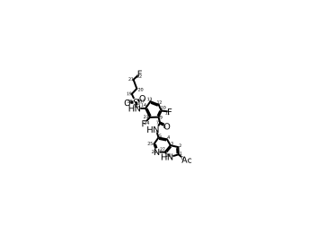 CC(=O)c1cc2cc(NC(=O)c3c(F)ccc(NS(=O)(=O)CCCF)c3F)cnc2[nH]1